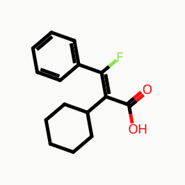 O=C(O)/C(=C(\F)c1ccccc1)C1CCCCC1